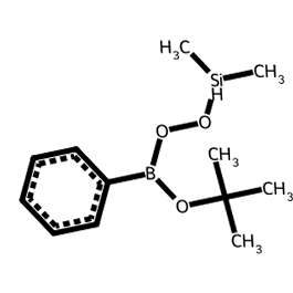 C[SiH](C)OOB(OC(C)(C)C)c1ccccc1